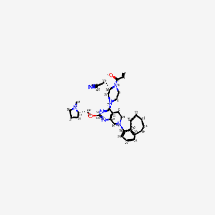 C=CC(=O)N1CCN(c2nc(OC[C@@H]3CCCN3C)nc3c2CCN(c2cccc4c2CCCCC4)C3)C[C@@H]1CC#N